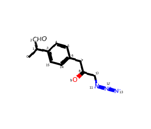 CC(C=O)c1ccc(CC(=O)CN=[N+]=[N-])cc1